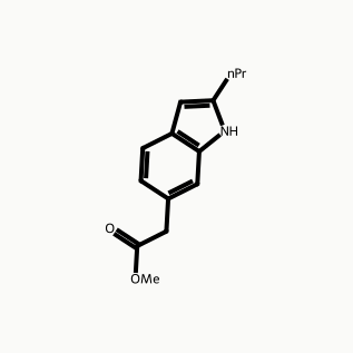 CCCc1cc2ccc(CC(=O)OC)cc2[nH]1